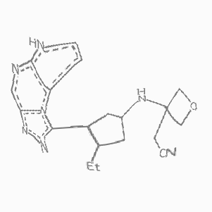 CCC1CC(NC2(CC#N)COC2)CC1c1nnc2cnc3[nH]ccc3n12